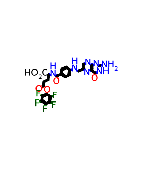 Nc1nc2ncc(CNc3ccc(C(=O)NC(CCC(=O)Oc4c(F)c(F)c(F)c(F)c4F)C(=O)O)cc3)nc2c(=O)[nH]1